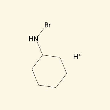 BrNC1CCCCC1.[H+]